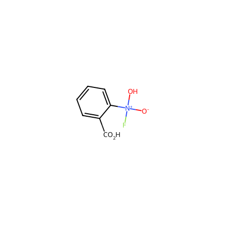 O=C(O)c1ccccc1[N+]([O-])(O)F